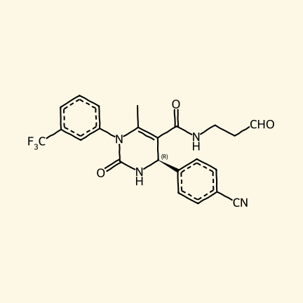 CC1=C(C(=O)NCCC=O)[C@@H](c2ccc(C#N)cc2)NC(=O)N1c1cccc(C(F)(F)F)c1